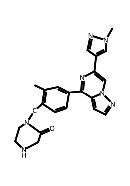 Cc1cc(-c2nc(-c3cnn(C)c3)cn3nccc23)ccc1CN1CCNCC1=O